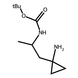 CC(CC1(N)CC1)NC(=O)OC(C)(C)C